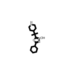 CC(C)(c1nnc(C2CCCCC2)o1)C1CCNCC1.Cl